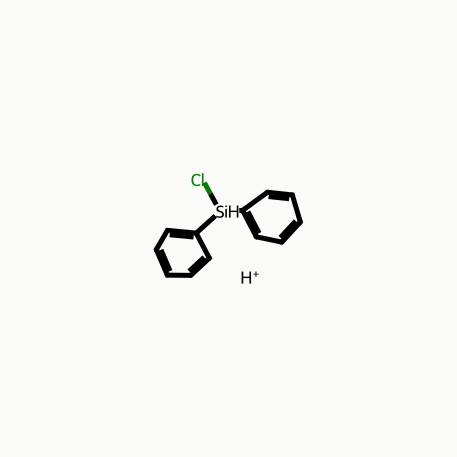 Cl[SiH](c1ccccc1)c1ccccc1.[H+]